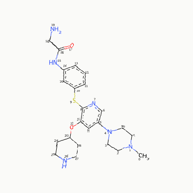 CN1CCN(c2cnc(Sc3cccc(NC(=O)CN)c3)c(OC3CCNCC3)c2)CC1